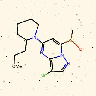 COCCC1CCCCN1c1cc([S+](C)[O-])n2ncc(Br)c2n1